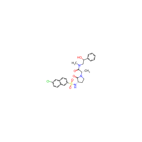 C[C@@H](C(=O)N(C)CC(O)c1ccccc1)N1CC[C@H](NS(=O)(=O)c2ccc3cc(Cl)ccc3c2)C1=O